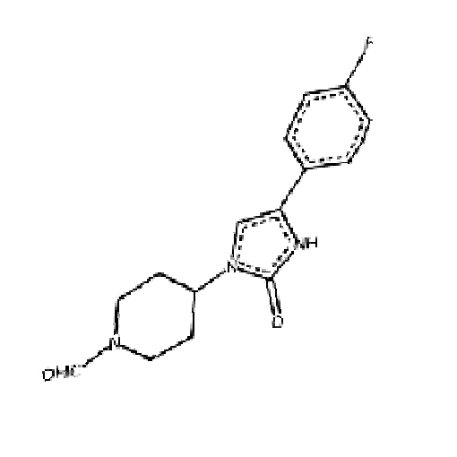 O=CN1CCC(n2cc(-c3ccc(F)cc3)[nH]c2=O)CC1